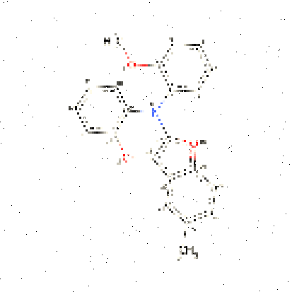 COc1ccccc1N1c2ccccc2Oc2c1oc1ccc(C)cc21